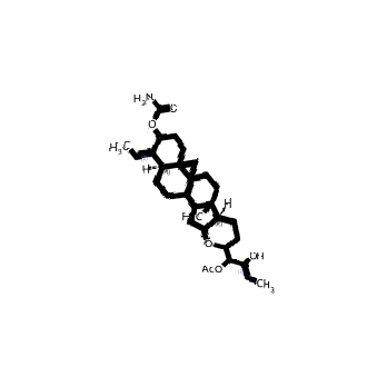 C/C=C(\O)C(OC(C)=O)C1CC[C@H]2C(CC3C4CC[C@H]5/C(=C/C)C(OC(N)=O)CCC56CC46CCC32C)O1